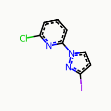 Clc1cccc(-n2ccc(I)n2)n1